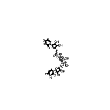 O=c1ccn([C@@H]2O[C@H](COP(=O)(O)OP(=O)(O)OP(=O)(O)OP(=O)(O)OC[C@@H]3O[C@H](n4ccc(=O)[nH]c4=O)[C@@H](O)[C@H]3O)[C@@H](O)[C@H]2O)c(=O)[nH]1